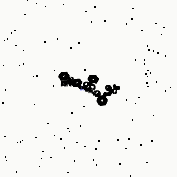 CC(C)OC(=O)CCc1ccccc1OC[C@H](C/C=C/c1cccc(NS(=O)(=O)c2ccccc2)c1)OC(=O)c1ccccc1